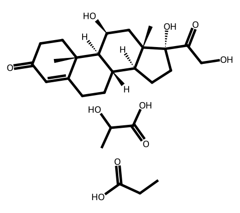 CC(O)C(=O)O.CCC(=O)O.C[C@]12CCC(=O)C=C1CC[C@@H]1[C@@H]2[C@@H](O)C[C@@]2(C)[C@H]1CC[C@]2(O)C(=O)CO